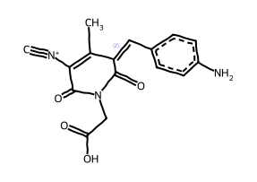 [C-]#[N+]C1=C(C)/C(=C/c2ccc(N)cc2)C(=O)N(CC(=O)O)C1=O